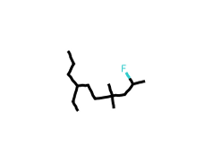 CCCC(CC)CCC(C)(C)CC(C)F